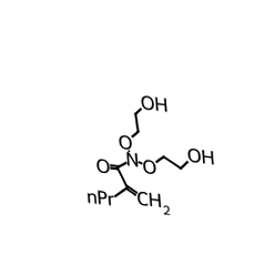 C=C(CCC)C(=O)N(OCCO)OCCO